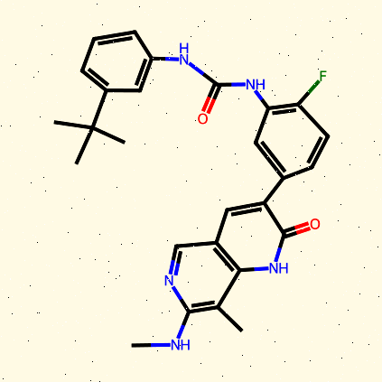 CNc1ncc2cc(-c3ccc(F)c(NC(=O)Nc4cccc(C(C)(C)C)c4)c3)c(=O)[nH]c2c1C